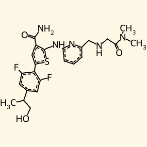 CC(CO)c1cc(F)c(-c2cc(C(N)=O)c(Nc3cccc(CNCC(=O)N(C)C)n3)s2)c(F)c1